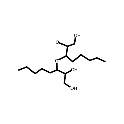 CCCCCC(OC(CCCCC)C(O)CO)C(O)CO